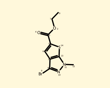 CCOC(=O)c1cc2c(Br)nn(C)c2s1